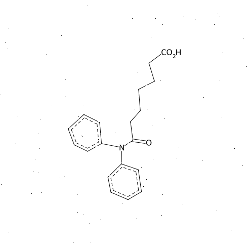 O=C(O)CCCCCC(=O)N(c1ccccc1)c1ccccc1